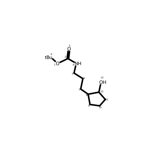 CC(C)(C)OC(=O)NCCCC1CCCC1O